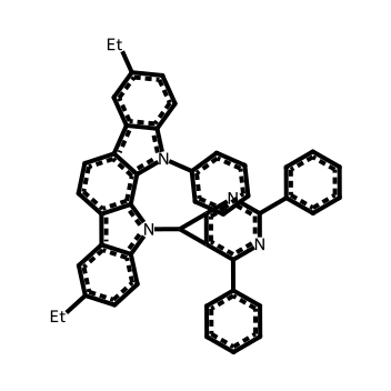 CCc1ccc2c(c1)c1ccc3c4cc(CC)ccc4n(C4c5nc(-c6ccccc6)nc(-c6ccccc6)c54)c3c1n2-c1ccccc1